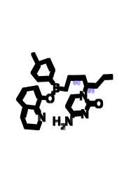 C=C/C=C(\C=C/CB(Oc1cccc2cccnc12)c1ccc(C)cc1)n1ccc(N)nc1=O